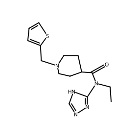 CCN(C(=O)C1CCN(Cc2cccs2)CC1)c1nnc[nH]1